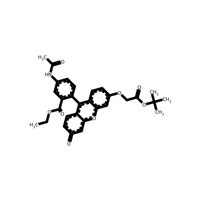 CCOC(=O)c1cc(NC(C)=O)ccc1-c1c2ccc(=O)cc-2oc2cc(OCC(=O)OC(C)(C)C)ccc12